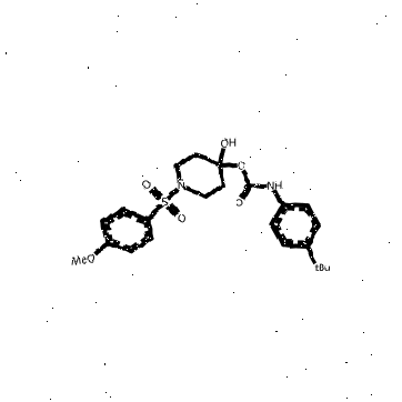 COc1ccc(S(=O)(=O)N2CCC(O)(OC(=O)Nc3ccc(C(C)(C)C)cc3)CC2)cc1